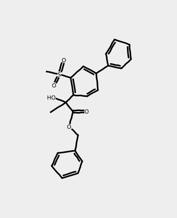 CC(O)(C(=O)OCc1ccccc1)c1ccc(-c2ccccc2)cc1S(C)(=O)=O